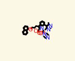 Cc1ncnc(C)c1-c1cccc2c(CCCOc3cccc4ccccc34)c(C(=O)O)n(CC(=O)N3CCN(C)CC3)c12